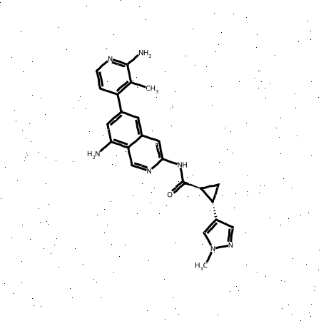 Cc1c(-c2cc(N)c3cnc(NC(=O)[C@H]4C[C@@H]4c4cnn(C)c4)cc3c2)ccnc1N